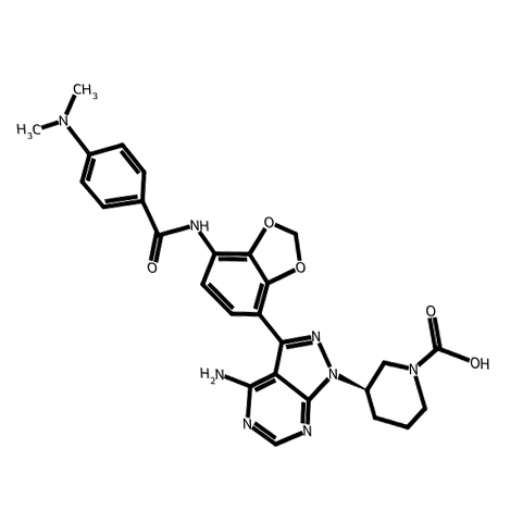 CN(C)c1ccc(C(=O)Nc2ccc(-c3nn([C@@H]4CCCN(C(=O)O)C4)c4ncnc(N)c34)c3c2OCO3)cc1